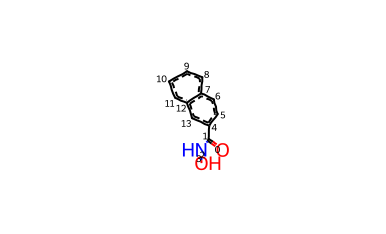 O=C(NO)c1ccc2ccccc2c1